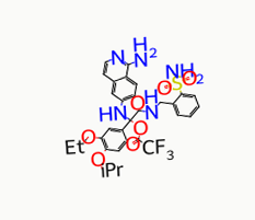 CCOc1cc(C(Nc2ccc3c(N)nccc3c2)(OC(=O)C(F)(F)F)C(=O)NCc2ccccc2S(N)(=O)=O)ccc1OC(C)C